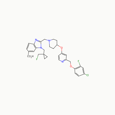 O=C(O)c1ccc2nc(CN3CCC(Oc4ccnc(COc5ccc(Cl)cc5F)c4)CC3)n(CC3(CF)CC3)c2c1